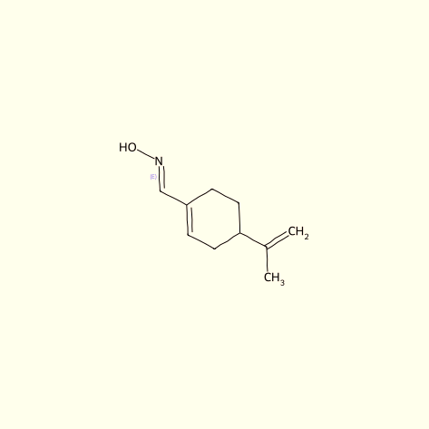 C=C(C)C1CC=C(/C=N/O)CC1